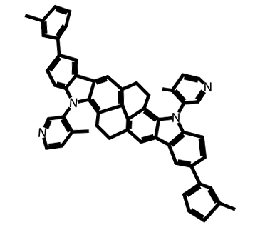 Cc1cccc(-c2ccc3c(c2)c2cc4c5c(c2n3-c2cnccc2C)CCc2cc3c6cc(-c7cccc(C)c7)ccc6n(-c6cnccc6C)c3c(c2-5)CC4)c1